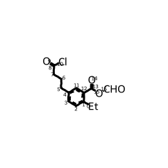 CCc1ccc(CCCC(=O)Cl)cc1C(=O)OC=O